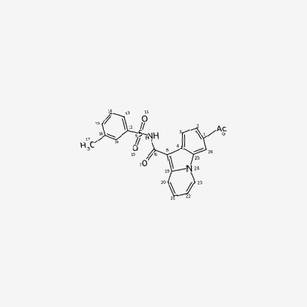 CC(=O)c1ccc2c(C(=O)NS(=O)(=O)c3cccc(C)c3)c3ccccn3c2c1